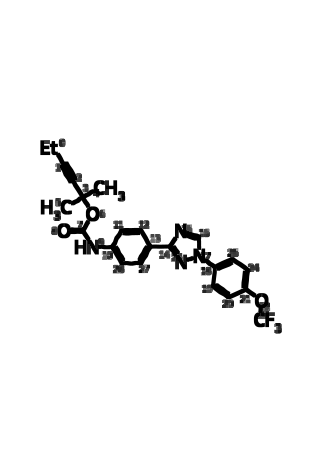 CCC#CC(C)(C)OC(=O)Nc1ccc(-c2ncn(-c3ccc(OC(F)(F)F)cc3)n2)cc1